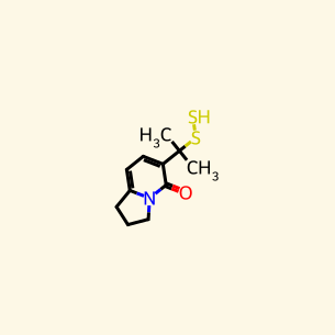 CC(C)(SS)c1ccc2n(c1=O)CCC2